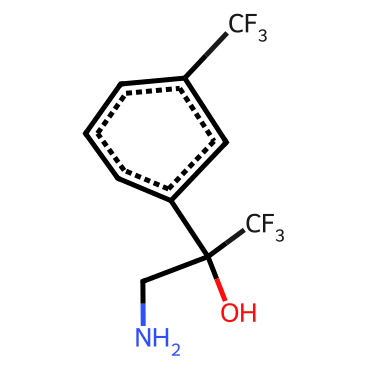 NCC(O)(c1cccc(C(F)(F)F)c1)C(F)(F)F